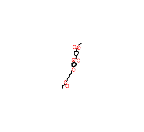 C=CC(=O)OCCCCCCOc1ccc(OC(=O)C2CCC(C(=O)OCC)CC2)cc1